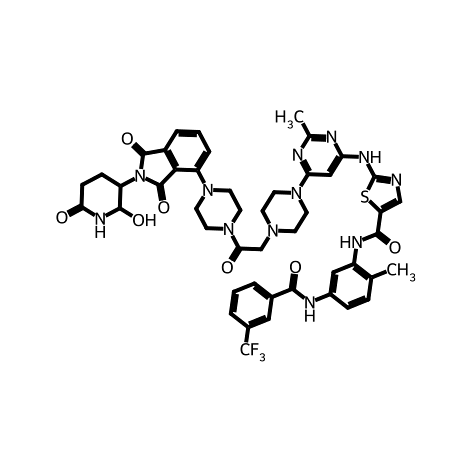 Cc1nc(Nc2ncc(C(=O)Nc3cc(NC(=O)c4cccc(C(F)(F)F)c4)ccc3C)s2)cc(N2CCN(CC(=O)N3CCN(c4cccc5c4C(=O)N(C4CCC(=O)NC4O)C5=O)CC3)CC2)n1